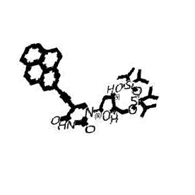 CC(C)[Si]1(C(C)C)OC[C@H]2O[C@@H](n3cc(C#Cc4cc5ccc6cccc7ccc(c4)c5c67)c(=O)[nH]c3=O)C[C@@H]2O[Si](C(C)C)(C(C)C)O1